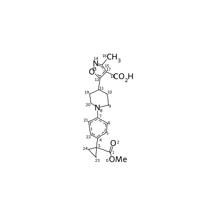 COC(=O)C1(c2ccc(N3CCC(c4onc(C)c4C(=O)O)CC3)cc2)CC1